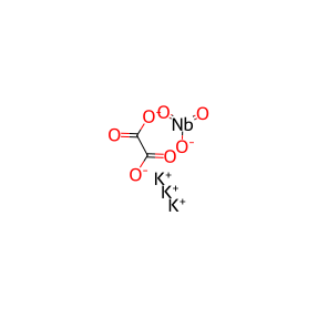 O=C([O-])C(=O)[O-].[K+].[K+].[K+].[O]=[Nb](=[O])[O-]